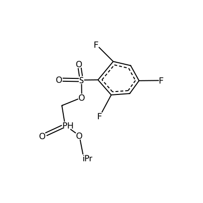 CC(C)O[PH](=O)COS(=O)(=O)c1c(F)cc(F)cc1F